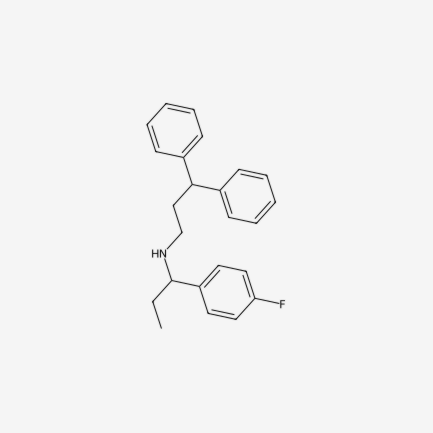 CCC(NCCC(c1ccccc1)c1ccccc1)c1ccc(F)cc1